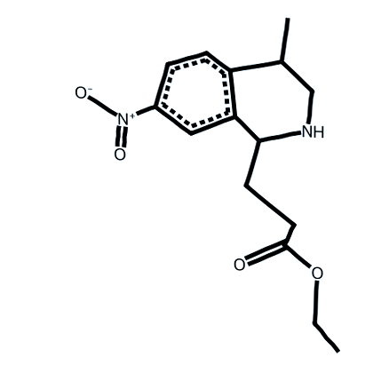 CCOC(=O)CCC1NCC(C)c2ccc([N+](=O)[O-])cc21